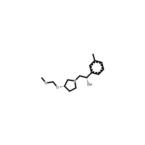 COCO[C@H]1CCN(C[C@@H](O)c2cccc(C)c2)C1